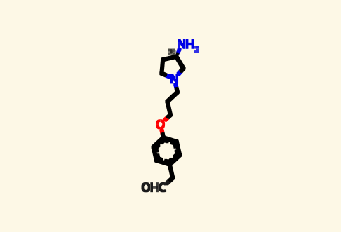 N[C@@H]1CCN(CCCOc2ccc(CC=O)cc2)C1